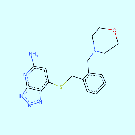 Nc1cc(SCc2ccccc2CN2CCOCC2)c2nn[nH]c2n1